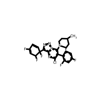 CC1CCN(c2c(-c3c(F)cc(F)cc3F)c(Cl)nc3c(C4(F)C=CC(F)=CC4F)nnn23)CC1